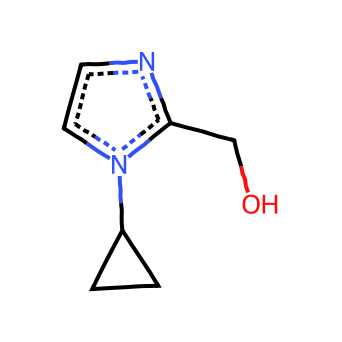 OCc1nccn1C1CC1